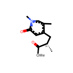 COC(=O)[C@@H](C)Cc1cc(=O)n(C)cc1C